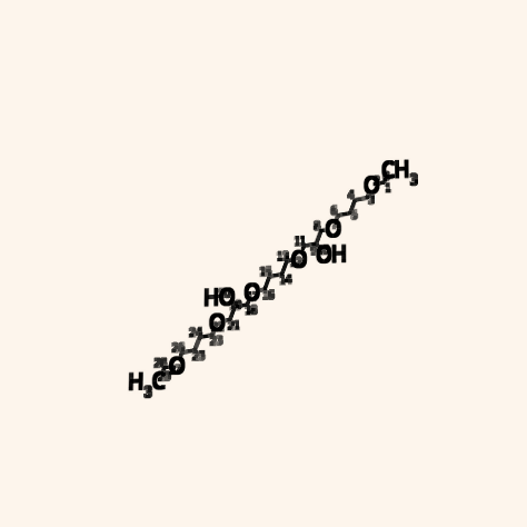 CCOCCCCOCC(O)COCCCCOCC(O)COCCCCOCC